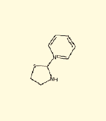 c1cc[n+](C2NCCS2)cc1